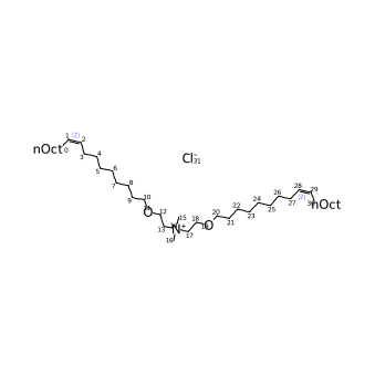 CCCCCCCC/C=C\CCCCCCCCOCC[N+](C)(C)CCOCCCCCCCC/C=C\CCCCCCCC.[Cl-]